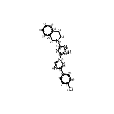 Clc1ccc(-c2ncn(-c3nc(N4CCc5ccccc5C4)n[nH]3)n2)cc1